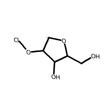 OCC1O[CH]C(OCl)C1O